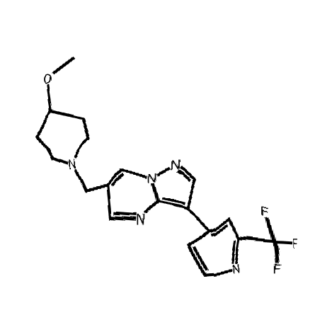 COC1CCN(Cc2cnc3c(-c4ccnc(C(F)(F)F)c4)cnn3c2)CC1